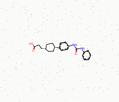 O=C(O)CC[C@H]1CC[C@@H](c2ccc(NC(=O)Nc3ccccc3)cc2)CC1